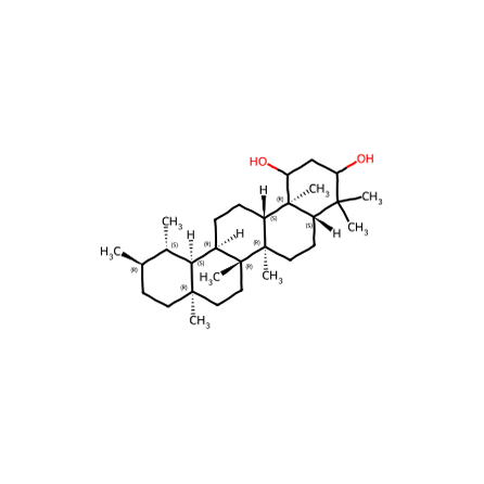 C[C@@H]1[C@H]2[C@H]3CC[C@@H]4[C@@]5(C)C(O)CC(O)C(C)(C)[C@@H]5CC[C@@]4(C)[C@]3(C)CC[C@@]2(C)CC[C@H]1C